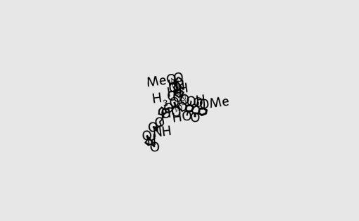 COc1cccc2c1C(=O)c1c(O)c3c(c(O)c1C2=O)C[C@@](O)(C(=O)COC1CCCC(COCC(=O)NCCN2C(=O)C=CC2=O)O1)C[C@@H]3O[C@H]1C[C@H]2[C@H](O[C@@H]3[C@@H](OC)OCCN32)[C@H](C)O1